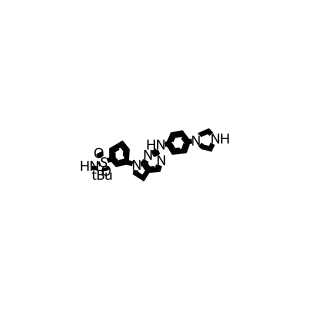 CC(C)(C)NS(=O)(=O)c1cccc(N2CCc3cnc(Nc4ccc(N5CCNCC5)cc4)nc32)c1